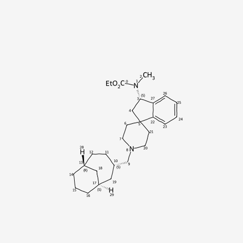 CCOC(=O)N(C)[C@H]1CC2(CCN(C[C@H]3CC[C@H]4CCC[C@@H](C4)C3)CC2)c2ccccc21